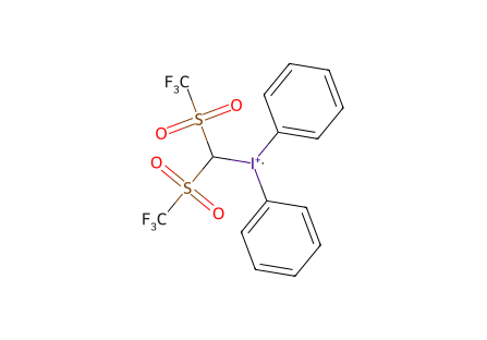 O=S(=O)(C([I+](c1ccccc1)c1ccccc1)S(=O)(=O)C(F)(F)F)C(F)(F)F